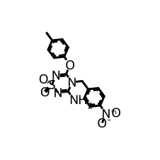 Cc1ccc(OC2=NS(=O)(=O)N=C(N)N2Cc2ccc([N+](=O)[O-])cc2)cc1